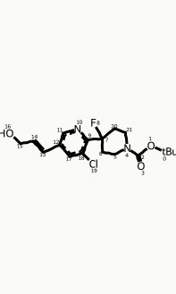 CC(C)(C)OC(=O)N1CCC(F)(c2ncc(C=CCO)cc2Cl)CC1